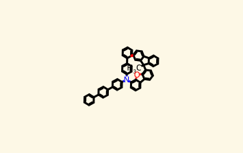 CC1(c2cccc3c2oc2c(N(c4ccc(-c5ccccc5)cc4)c4ccc(-c5ccc(-c6ccccc6)cc5)cc4)cccc23)c2ccccc2-c2ccccc21